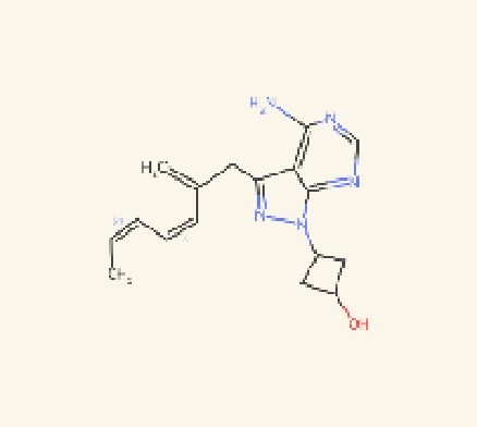 C=C(/C=C\C=C/C)Cc1nn(C2CC(O)C2)c2ncnc(N)c12